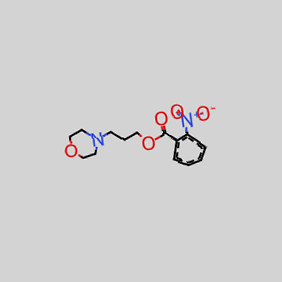 O=C(OCCCN1CCOCC1)c1ccccc1[N+](=O)[O-]